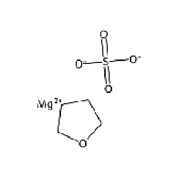 C1CCOC1.O=S(=O)([O-])[O-].[Mg+2]